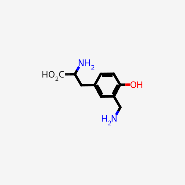 NCc1cc(CC(N)C(=O)O)ccc1O